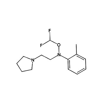 Cc1ccccc1N(CCN1CCCC1)OC(F)F